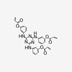 C=CC(=O)Oc1cccc(Nc2nc(Nc3cccc(OC(=O)C=C)c3)nc(Nc3cccc(OC(=O)C=C)c3)n2)c1